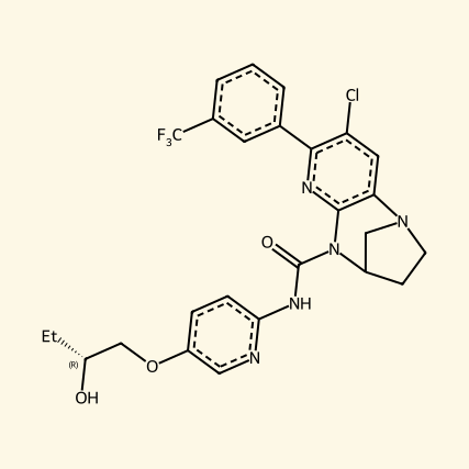 CC[C@@H](O)COc1ccc(NC(=O)N2c3nc(-c4cccc(C(F)(F)F)c4)c(Cl)cc3N3CCC2C3)nc1